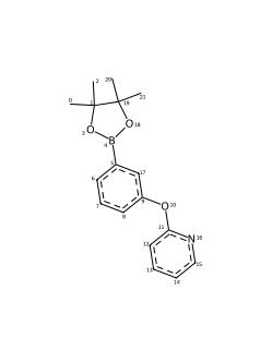 CC1(C)OB(c2cccc(Oc3ccccn3)c2)OC1(C)C